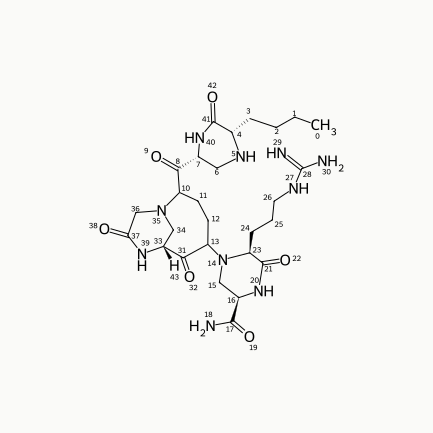 CCCC[C@@H]1NC[C@H](C(=O)C2CCC(N3C[C@H](C(N)=O)NC(=O)[C@@H]3CCCNC(=N)N)C(=O)[C@H]3CN2CC(=O)N3)NC1=O